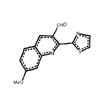 COc1ccc2cc(C=O)c(-c3nccs3)nc2c1